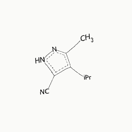 Cc1n[nH]c(C#N)c1C(C)C